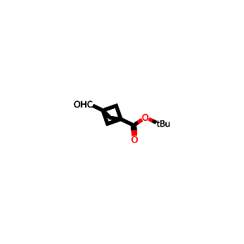 CC(C)(C)OC(=O)C12CC(C=O)(C1)C2